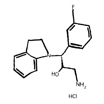 Cl.NCC(O)[C@H](c1cccc(F)c1)N1CCc2ccccc21